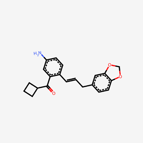 Nc1ccc(/C=C/Cc2ccc3c(c2)OCO3)c(C(=O)C2CCC2)c1